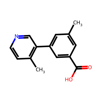 Cc1cc(C(=O)O)cc(-c2cnccc2C)c1